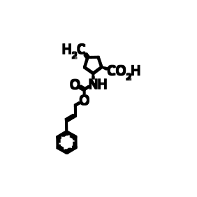 C=C1C[C@H](NC(=O)OC/C=C/c2ccccc2)[C@H](C(=O)O)C1